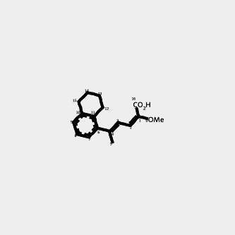 COC(=CC=C(C)c1cccc2c1CCCC2)C(=O)O